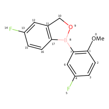 COc1ccc(F)cc1B1OCc2cc(F)ccc21